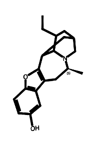 CCC1CC2CC3c4oc5ccc(O)cc5c4C[C@H](C)N(C2)C13